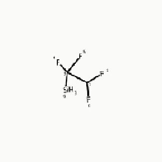 FC(F)C(F)(F)[SiH3]